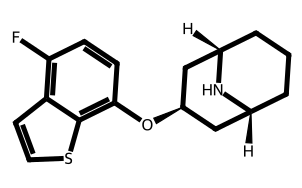 Fc1ccc(O[C@@H]2C[C@H]3CCC[C@@H](C2)N3)c2sccc12